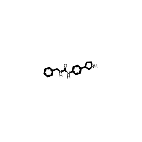 O=C(NCc1ccccc1)Nc1ccc(C2CCNC2)cc1